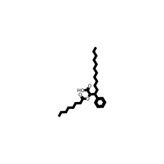 CCCCCCCCCCCC(c1ccccc1)C(OC(=O)CCCCCCC)C(=O)O